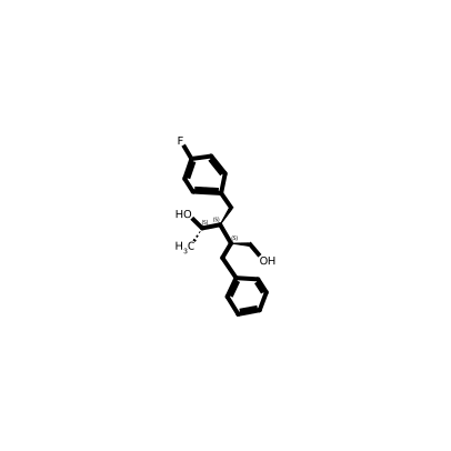 C[C@H](O)[C@@H](Cc1ccc(F)cc1)[C@@H](CO)Cc1ccccc1